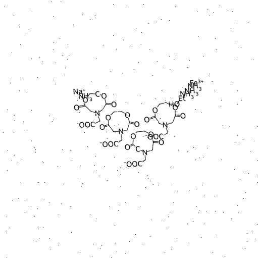 CCO.N.N.N.N.O=C([O-])CN1CC(=O)OCCOC(=O)C1.O=C([O-])CN1CC(=O)OCCOC(=O)C1.O=C([O-])CN1CC(=O)OCCOC(=O)C1.O=C([O-])CN1CC(=O)OCCOC(=O)C1.[Fe+3].[Na+]